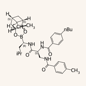 CCCCc1ccc(C(=O)N[C@@H](CNC(=O)c2ccc(C)cc2)C(=O)N[C@@H](CC(C)C)B2O[C@@H]3C[C@@H]4C[C@@H](C4(C)C)[C@]3(C)O2)cc1